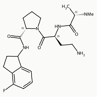 CN[C@@H](C)C(=O)N[C@@H](CCN)C(=O)N1CCC[C@H]1C(=O)NC1CCc2c(F)cccc21